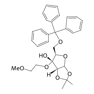 COCCO[C@]1(O)[C@@H](COC(c2ccccc2)(c2ccccc2)c2ccccc2)OC2OC(C)(C)O[C@@H]21